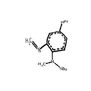 C=Nc1cc(CCC)ccc1N(C)CCCC